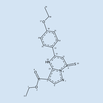 CCOC(=O)c1cnn2c(=S)cc(-c3ccc(OCC)cc3)[nH]c12